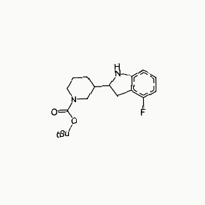 CC(C)(C)OC(=O)N1CCCC(C2Cc3c(F)cccc3N2)C1